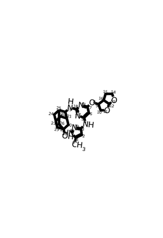 Cc1cc(Nc2cc(OC3COC4OCCC34)nc(NC3C4CC5CC3CC(O)(C5)C4)n2)n[nH]1